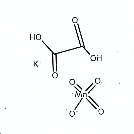 O=C(O)C(=O)O.[K+].[O]=[Mn](=[O])(=[O])[O-]